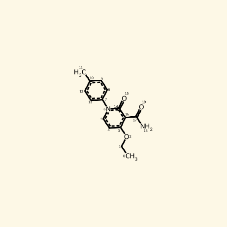 CCOc1ccn(-c2ccc(C)cc2)c(=O)c1C(N)=O